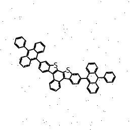 C1=CC2=C(c3ccc4c(c3)sc3c5sc6cc(-c7c8ccccc8c(-c8ccccc8)c8ccccc78)ccc6c5c5ccccc5c43)c3ccccc3C(c3ccccc3)C2C=C1